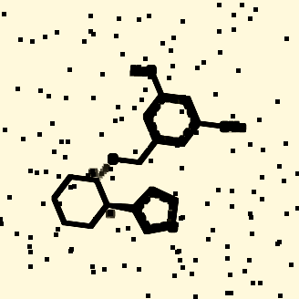 COc1cc(CO[C@H]2CCCC[C@@H]2c2ccoc2)cc(OC)c1